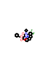 O=C1c2c(OCc3ccccc3)c(=O)ccn2N(C23C(=Cc4c2ccc(F)c4F)Cc2ccccc23)CN1C1CCC1